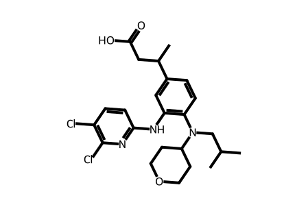 CC(C)CN(c1ccc(C(C)CC(=O)O)cc1Nc1ccc(Cl)c(Cl)n1)C1CCOCC1